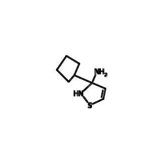 NC1(C2CCCC2)C=CSN1